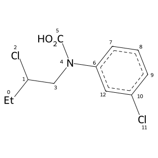 CCC(Cl)CN(C(=O)O)c1cccc(Cl)c1